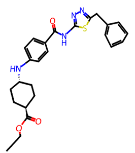 CCOC(=O)[C@H]1CC[C@H](Nc2ccc(C(=O)Nc3nnc(Cc4ccccc4)s3)cc2)CC1